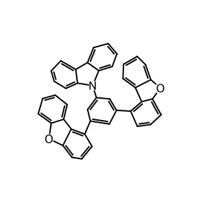 c1ccc2c(c1)oc1cccc(-c3cc(-c4cccc5oc6ccccc6c45)cc(-n4c5ccccc5c5ccccc54)c3)c12